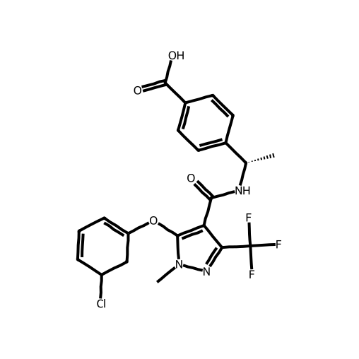 C[C@H](NC(=O)c1c(C(F)(F)F)nn(C)c1OC1=CC=CC(Cl)C1)c1ccc(C(=O)O)cc1